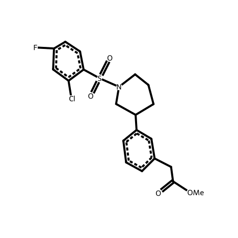 COC(=O)Cc1cccc(C2CCCN(S(=O)(=O)c3ccc(F)cc3Cl)C2)c1